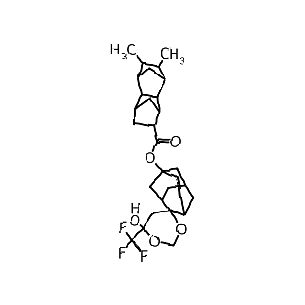 CC1C(C)C2CC1C1C3CC(C(=O)OC45CC6CC(C4)C4(CC(O)(C(F)(F)F)OCO4)C(C6)C5)C(C3)C21